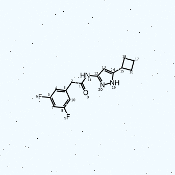 O=C(Cc1cc(F)cc(F)c1)Nc1cc(C2CCC2)[nH]n1